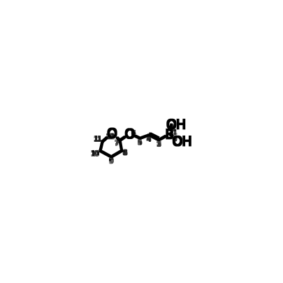 OB(O)/C=C/COC1CCCCO1